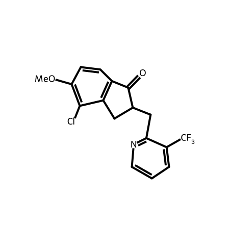 COc1ccc2c(c1Cl)CC(Cc1ncccc1C(F)(F)F)C2=O